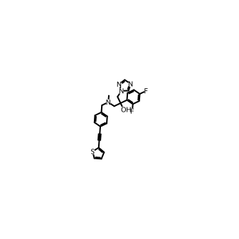 CN(Cc1ccc(C#Cc2cccs2)cc1)CC(O)(Cn1cncn1)c1ccc(F)cc1F